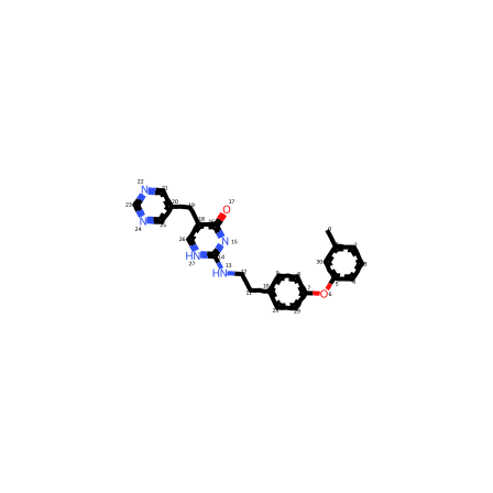 Cc1cccc(Oc2ccc(CCNc3nc(=O)c(Cc4cncnc4)c[nH]3)cc2)c1